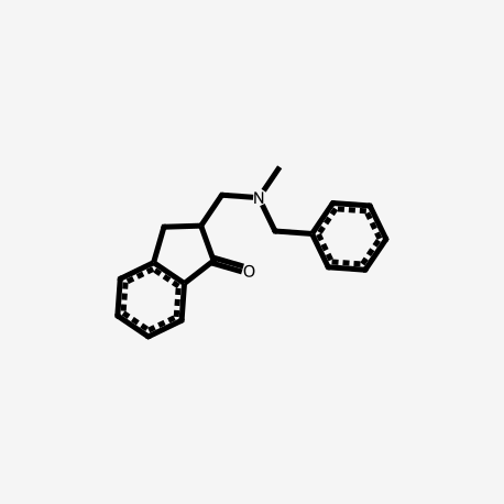 CN(Cc1ccccc1)CC1Cc2ccccc2C1=O